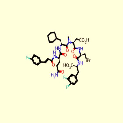 CC(C)C[C@H](NC(=O)[C@H](CC(=O)O)N(C)C(=O)[C@H](CC1CCCCC1)NC(=O)[C@H](CCC(N)=O)NC(=O)/C=C/c1ccc(F)cc1)C(=O)N[C@@H](Cc1ccc(F)c(F)c1)C(=O)O